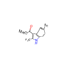 COC(=O)c1c(C(F)(F)F)[nH]c2ccc(C(C)=O)cc12